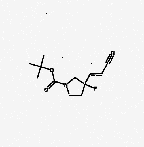 CC(C)(C)OC(=O)N1CCC(F)(C=CC#N)C1